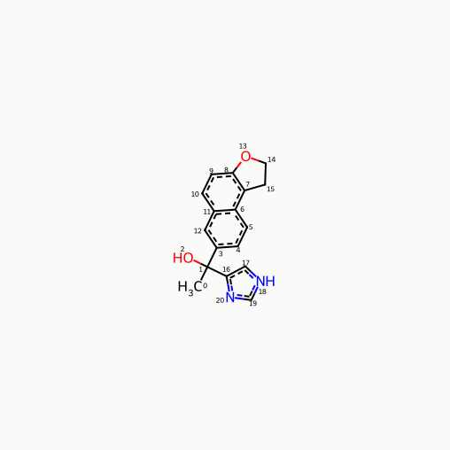 CC(O)(c1ccc2c3c(ccc2c1)OCC3)c1c[nH]cn1